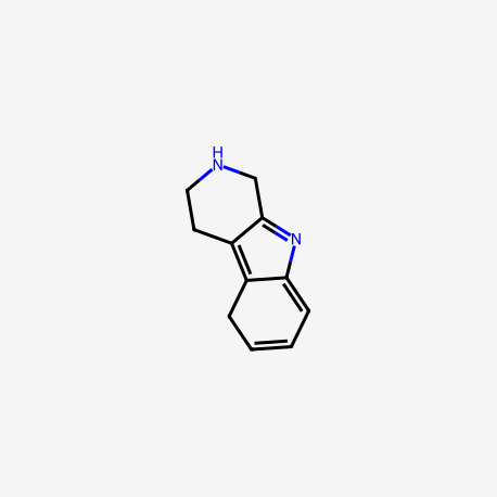 C1=CCC2=C3CCNCC3=NC2=C1